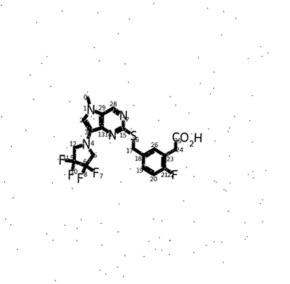 Cn1cc(N2CC(F)(F)C(F)(F)C2)c2nc(SCc3ccc(F)c(CC(=O)O)c3)ncc21